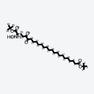 CC(C)(C)OC(=O)CCCCCCCCCCCCCCCCCCC(=O)C(=O)CC[C@H](NO)C(=O)OC(C)(C)C